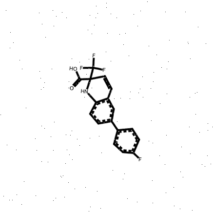 O=C(O)C1(C(F)(F)F)C=Cc2cc(-c3ccc(F)cc3)ccc2N1